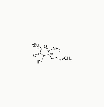 C=CCC[C@H](C(N)=O)C(C(=O)NC(C)(C)C)C(C)C